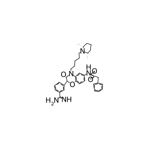 C[C@@H]1CCC[C@H](C)N1CCCCCN1C(=O)C(c2cccc(C(=N)N)c2)Oc2ccc(NS(=O)(=O)Cc3ccccc3)cc21